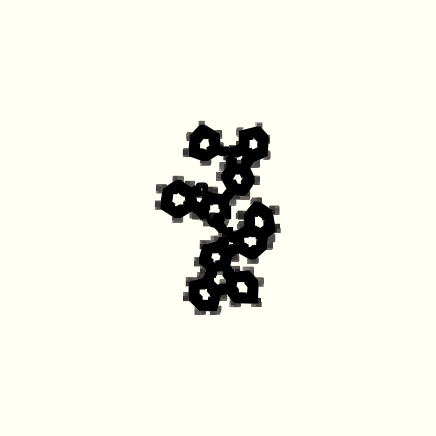 c1ccc(-n2c3ccccc3c3ccc(-c4nc(-n5c6ccc7c8ccccc8c8ccccc8c7c6c6ccc7ccccc7c65)nc5c4oc4ccccc45)cc32)cc1